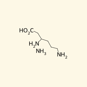 N.NCCCC(N)CC(=O)O